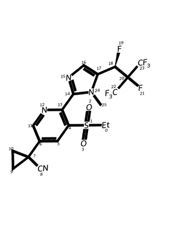 CCS(=O)(=O)c1cc(C2(C#N)CC2)cnc1-c1ncc([C@@H](F)C(F)(C(F)(F)F)C(F)(F)F)n1C